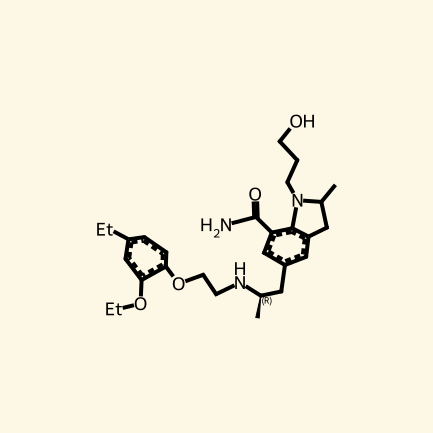 CCOc1cc(CC)ccc1OCCN[C@H](C)Cc1cc2c(c(C(N)=O)c1)N(CCCO)C(C)C2